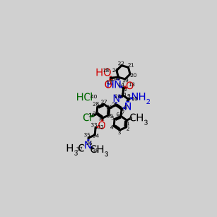 Cc1ccccc1-c1nc(N)c(C(=O)NC2(C(=O)O)CCCCC2)nc1-c1ccc(Cl)c(OCCCN(C)C)c1.Cl